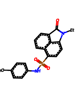 CCN1C(=O)c2cccc3c(S(=O)(=O)Nc4ccc(OC)cc4)ccc1c23